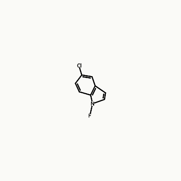 Fn1ccc2cc(Cl)ccc21